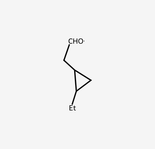 CCC1CC1C[C]=O